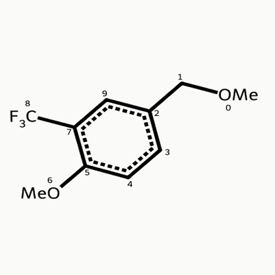 COCc1ccc(OC)c(C(F)(F)F)c1